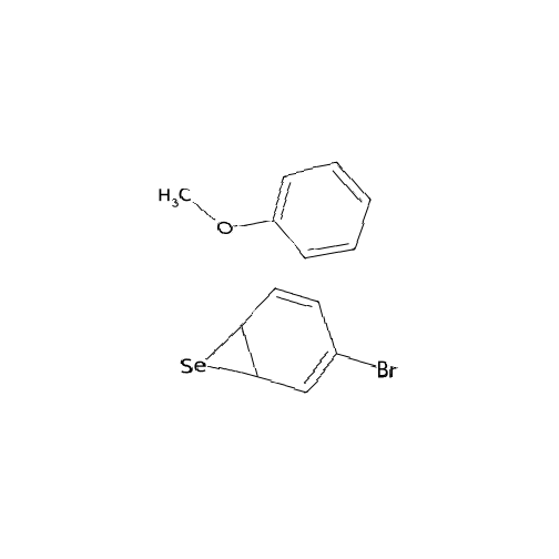 BrC1=CC2[Se]C2C=C1.COc1ccccc1